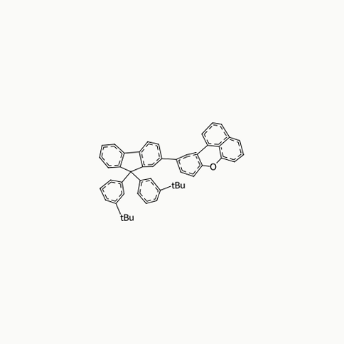 CC(C)(C)c1cccc(C2(c3cccc(C(C)(C)C)c3)c3ccccc3-c3ccc(-c4ccc5c(c4)-c4cccc6cccc(c46)O5)cc32)c1